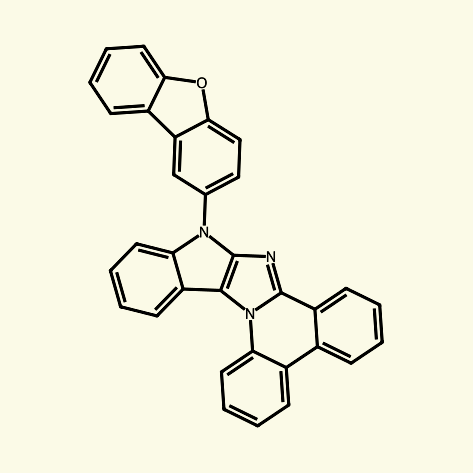 c1ccc2c(c1)oc1ccc(-n3c4ccccc4c4c3nc3c5ccccc5c5ccccc5n34)cc12